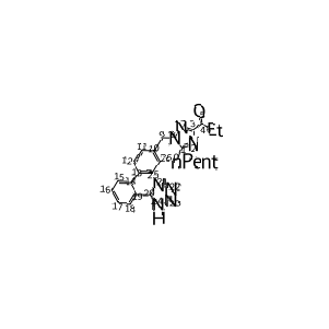 CCCCCc1nc(C(=O)CC)nn1Cc1ccc(-c2ccccc2-c2nnn[nH]2)cc1